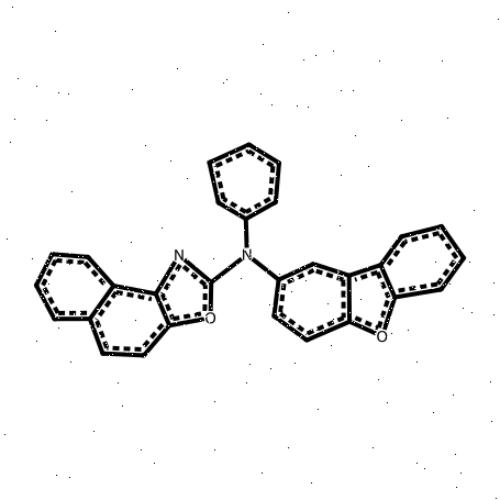 c1ccc(N(c2ccc3oc4ccccc4c3c2)c2nc3c(ccc4ccccc43)o2)cc1